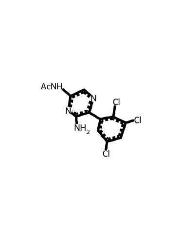 CC(=O)Nc1cnc(-c2cc(Cl)cc(Cl)c2Cl)c(N)n1